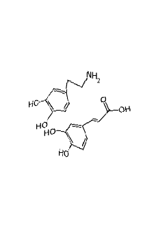 NCCc1ccc(O)c(O)c1.O=C(O)C=Cc1ccc(O)c(O)c1